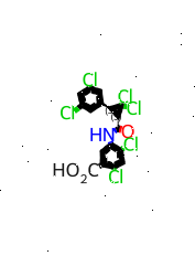 O=C(O)c1cc(NC(=O)[C@@H]2[C@@H](c3cc(Cl)cc(Cl)c3)C2(Cl)Cl)c(Cl)cc1Cl